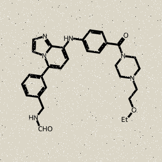 CCOCCN1CCN(C(=O)c2ccc(Nc3ccc(-c4cccc(CNC=O)c4)n4ccnc34)cc2)CC1